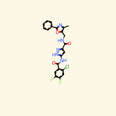 Cc1nc(-c2ccccc2)oc1CNC(=O)c1cc(NC(=O)c2cc(F)c(F)cc2Cl)[nH]n1